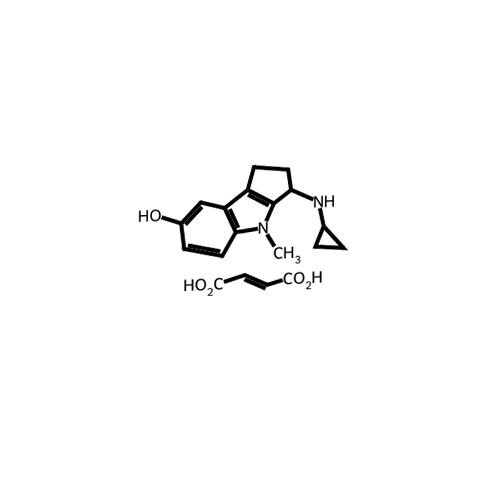 Cn1c2c(c3cc(O)ccc31)CCC2NC1CC1.O=C(O)C=CC(=O)O